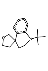 CC(C)(C)N1CCC2(CCOC2)c2ccccc21